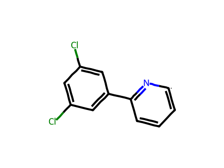 Clc1cc(Cl)cc(-c2ccc[c]n2)c1